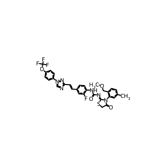 COCc1ccc(C)cc1N1C(=O)CSC1=NC(=O)Nc1ccc(C=Cc2ncn(-c3ccc(OC(F)(F)F)cc3)n2)cc1F